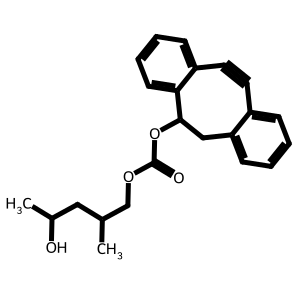 CC(O)CC(C)COC(=O)OC1Cc2ccccc2C#Cc2ccccc21